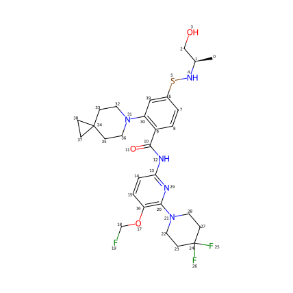 C[C@H](CO)NSc1ccc(C(=O)Nc2ccc(OCF)c(N3CCC(F)(F)CC3)n2)c(N2CCC3(CC2)CC3)c1